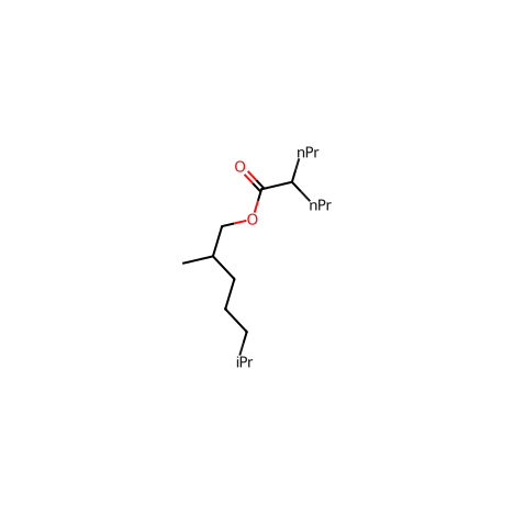 CCCC(CCC)C(=O)OCC(C)CCCC(C)C